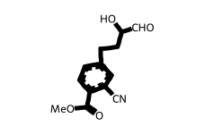 COC(=O)c1ccc(CCC(O)C=O)cc1C#N